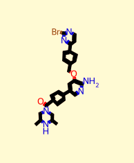 CC1CN(C(=O)c2ccc(-c3cnc(N)c(OCc4ccc(-c5ccnc(Br)n5)cc4)c3)cc2)CC(C)N1